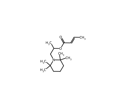 C/C=C/C(=O)OC(C)CN1C(C)(C)CCCC1(C)C